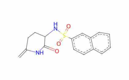 C=C1CCC(NS(=O)(=O)c2ccc3ccccc3c2)C(=O)N1